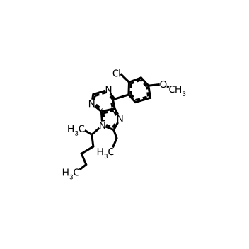 CCCCC(C)n1c(CC)nc2c(-c3ccc(OC)cc3Cl)ncnc21